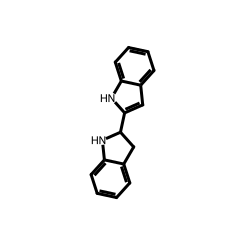 c1ccc2c(c1)CC(c1cc3ccccc3[nH]1)N2